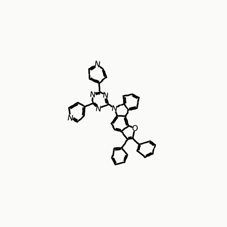 c1ccc(-c2oc3c(ccc4c3c3ccccc3n4-c3nc(-c4ccncc4)nc(-c4ccncc4)n3)c2-c2ccccc2)cc1